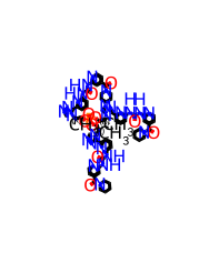 C[C@H](COP(=O)(OC[C@@H](C)n1cnnc1-c1cccc(NC(=O)Nc2cc(C(=O)N3CCCCC3)ccn2)n1)OC[C@@H](C)n1cnnc1-c1cccc(NC(=O)Nc2cc(C(=O)N3CCCCC3)ccn2)n1)n1cnnc1-c1cccc(NC(=O)Nc2cc(C(=O)N3CCCCC3)ccn2)n1